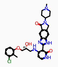 Cc1c(Cl)cccc1OC[C@H](O)CNc1cc[nH]c(=O)c1-c1nc2cc3c(cc2[nH]1)CN(C1CCN(C)CC1)C3=O